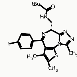 Cc1sc2c(c1C)C(c1ccc(I)cc1)=N[C@H](CNC(=O)C(C)(C)C)c1nnc(C)n1-2